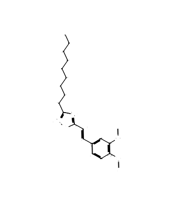 CCCCCCCCCc1noc(C=Cc2ccc(OC)c(OC)c2)n1